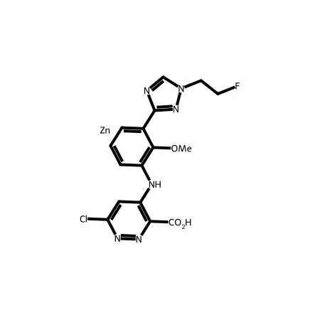 COc1c(Nc2cc(Cl)nnc2C(=O)O)cccc1-c1ncn(CCF)n1.[Zn]